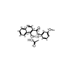 CC(=O)O.COc1cccc(NC(=O)c2cnc3ccccc3c2O)c1